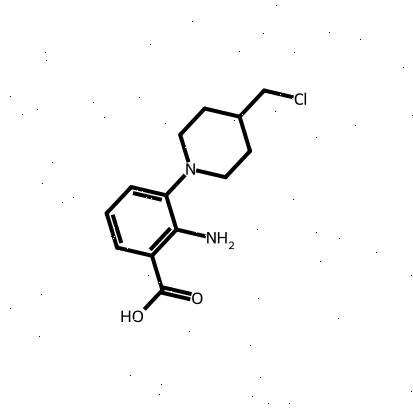 Nc1c(C(=O)O)cccc1N1CCC(CCl)CC1